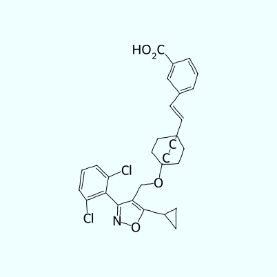 O=C(O)c1cccc(C=CC23CCC(OCc4c(-c5c(Cl)cccc5Cl)noc4C4CC4)(CC2)CC3)c1